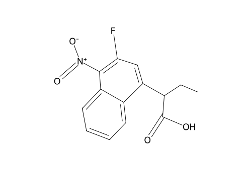 CCC(C(=O)O)c1cc(F)c([N+](=O)[O-])c2ccccc12